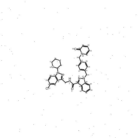 O=C(NCc1nn(C2CCCCO2)c2ccc(Cl)cc12)c1nn(Cc2ccc(Cn3ccccc3=O)cc2)c2ccccc12